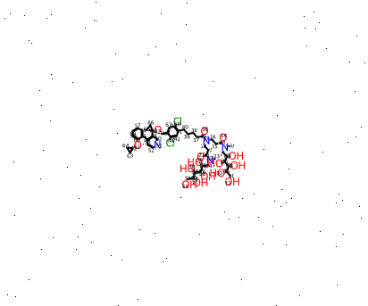 CN(C[C@H](O)[C@@H](O)[C@H](O)[C@H](O)CO)C(=O)CCN(CCC(=O)N(C)C[C@H](O)[C@@H](O)[C@H](O)[C@H](O)CO)C(=O)CCCCc1cc(Cl)c(COC2(c3cnccc3-c3ccccc3OC3CC3)CC2)cc1Cl